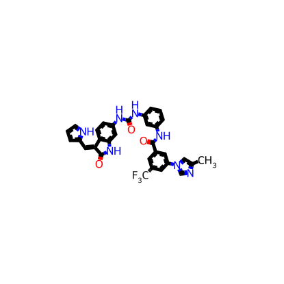 Cc1cn(-c2cc(C(=O)Nc3cccc(NC(=O)Nc4ccc5c(c4)NC(=O)C5=Cc4ccc[nH]4)c3)cc(C(F)(F)F)c2)cn1